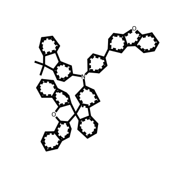 CC1(C)c2ccccc2-c2cc(N(c3ccc(-c4ccc5oc6ccccc6c5c4)cc3)c3ccc4c(c3)C3(c5ccccc5-4)c4ccc5ccccc5c4Oc4c3ccc3ccccc43)ccc21